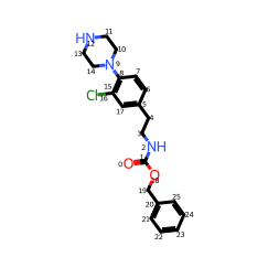 O=C(NCCc1ccc(N2CCNCC2)c(Cl)c1)OCc1ccccc1